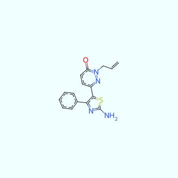 C=CCn1nc(-c2sc(N)nc2-c2ccccc2)ccc1=O